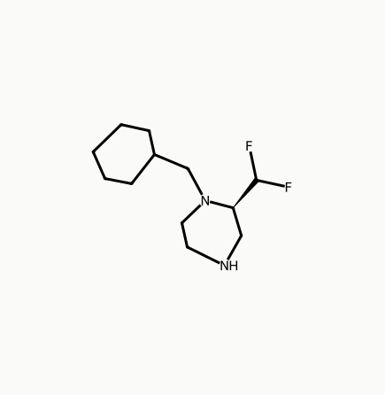 FC(F)[C@H]1CNCCN1CC1CCCCC1